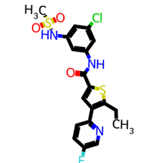 CCc1sc(C(=O)Nc2cc(Cl)cc(NS(C)(=O)=O)c2)cc1-c1ccc(F)cn1